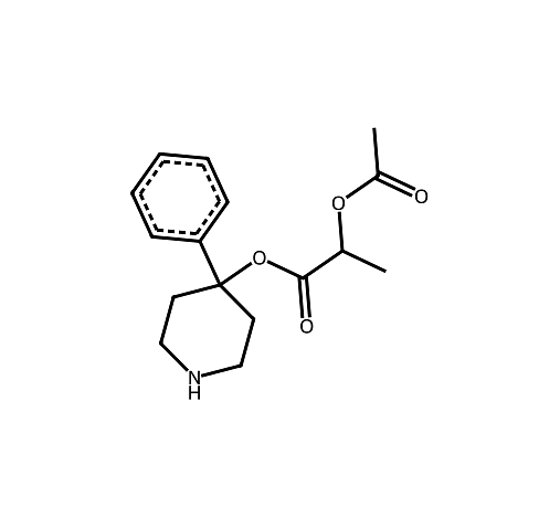 CC(=O)OC(C)C(=O)OC1(c2ccccc2)CCNCC1